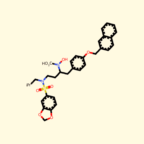 CC(C)CN(CCC(Cc1ccc(OCc2ccc3ccccc3c2)cc1)N(O)C(=O)O)S(=O)(=O)c1ccc2c(c1)OCO2